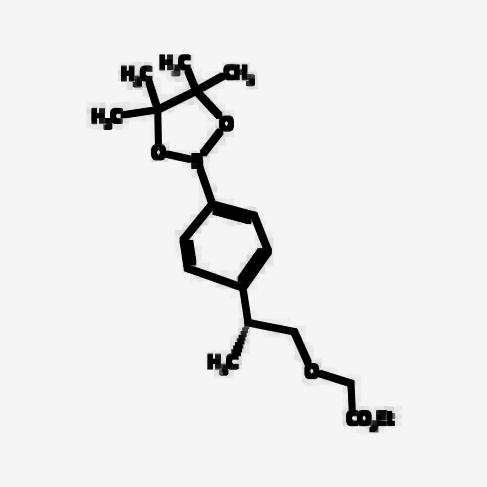 CCOC(=O)COC[C@H](C)c1ccc(B2OC(C)(C)C(C)(C)O2)cc1